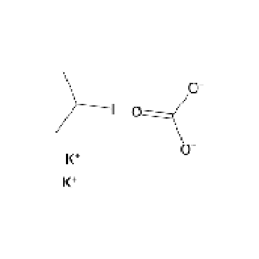 CC(C)I.O=C([O-])[O-].[K+].[K+]